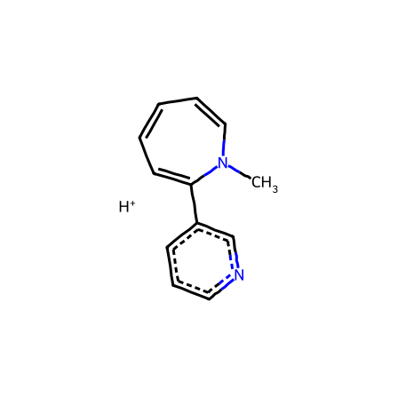 CN1C=CC=CC=C1c1cccnc1.[H+]